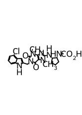 Cn1c(N[C@H]2CCC[C@H]2NC(=O)O)nc2c1c(=O)n(Cc1cc3c(Cl)cccc3[nH]1)c(=O)n2C